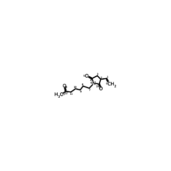 C=CC1CC(=O)N(CCCCCC(C)=O)C1=O